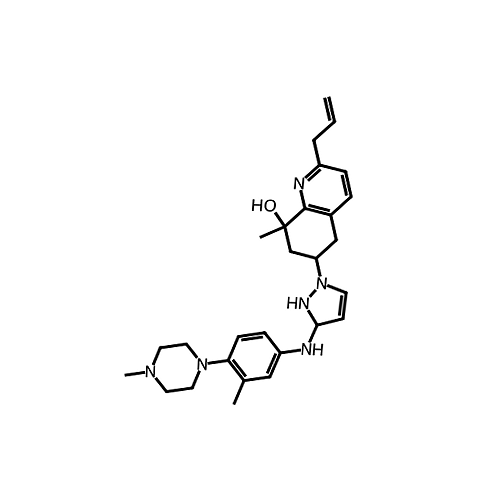 C=CCc1ccc2c(n1)C(C)(O)CC(N1C=CC(Nc3ccc(N4CCN(C)CC4)c(C)c3)N1)C2